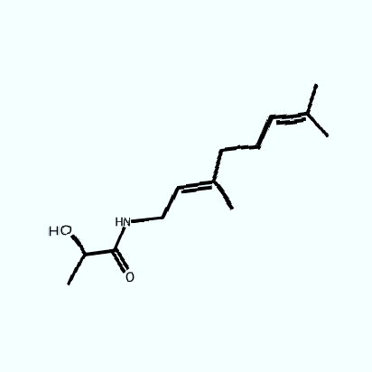 CC(C)=CCC/C(C)=C/CNC(=O)C(C)O